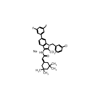 CC1(C)CC(=CC(=O)Nc2c(C(=O)O)n(Cc3cccc(Cl)c3)c3cc(-c4cc(F)cc(F)c4)ccc23)CC(C)(C)C1.[Na]